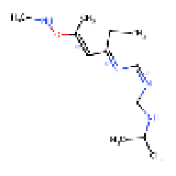 CCC(/C=C(\C)ONC)=N\C=N/CNC(C)C